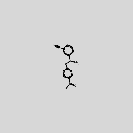 N#Cc1cccc(C(N)Cc2ccc([N+](=O)[O-])cc2)c1